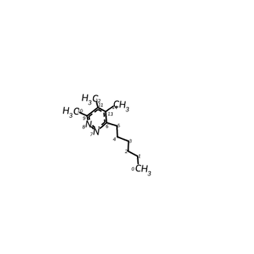 CCCCCCc1nnc(C)c(C)c1C